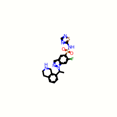 CC(c1cccc2c1CNCC2)n1ncc2cc(S(=O)(=O)Nc3ncns3)c(F)cc21